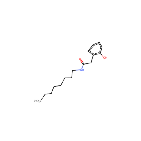 O=C(O)CCCCCCCNC(=O)Cc1ccccc1O